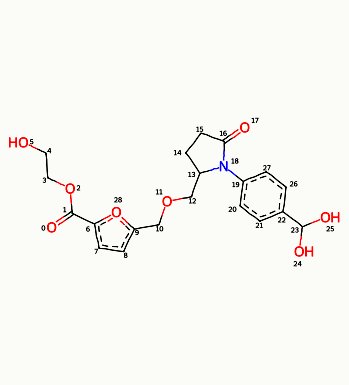 O=C(OCCO)c1ccc(COCC2CCC(=O)N2c2ccc(C(O)O)cc2)o1